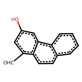 O=Cc1cc(O)cc2c1ccc1ccccc12